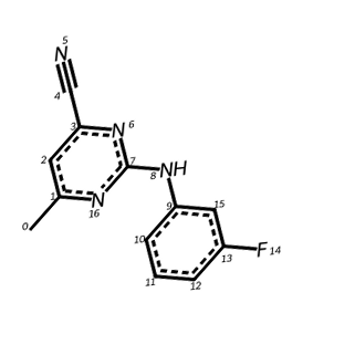 Cc1cc(C#N)nc(Nc2cccc(F)c2)n1